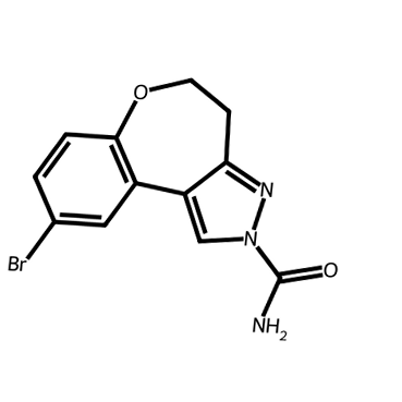 NC(=O)n1cc2c(n1)CCOc1ccc(Br)cc1-2